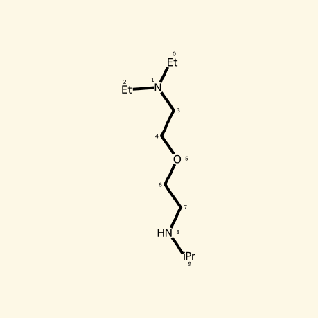 CCN(CC)CCOCCNC(C)C